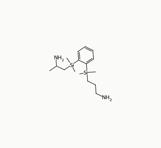 CC(N)C[Si](C)(C)c1ccccc1[Si](C)(C)CCCN